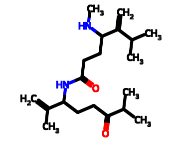 C=C(C)C(CCC(=O)C(C)C)NC(=O)CCC(NC)C(=C)C(C)C